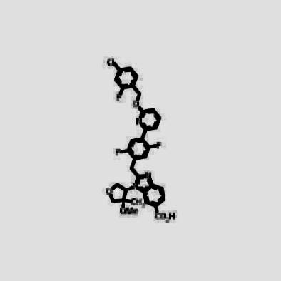 CO[C@@]1(C)COC[C@H]1n1c(Cc2cc(F)c(-c3cccc(OCc4ccc(Cl)cc4F)n3)cc2F)nc2ccc(C(=O)O)cc21